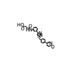 COc1ccc(-c2ccc(Cn3cc(-c4cccc(NC(=O)CCC(=O)O)c4)nn3)cc2)cn1